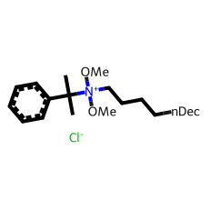 CCCCCCCCCCCCCC[N+](OC)(OC)C(C)(C)c1ccccc1.[Cl-]